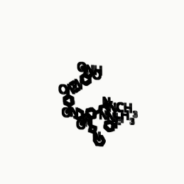 CC(C)n1cnc2cc(-c3ccc4c(c3)N(C3CC(N5CCCCC5)C3)C(=O)C43CCN(C(=O)c4ccc(C(=O)N5CCN(c6ccc7c(c6)C(=O)NC7=O)CC5)cc4)CC3)nc(Nc3ccccc3F)c21